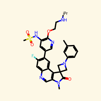 Cc1cccc(N2CC3(C2)C(=O)N(C)c2cnc4cc(F)c(-c5cnc(OCCNC(C)C)c(NS(C)(=O)=O)c5)cc4c23)c1